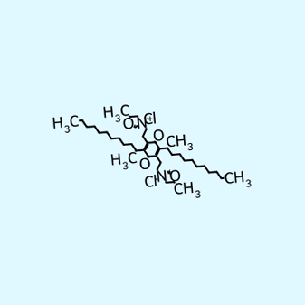 CCCCCCCCCCC(C)C1=C(CC[N+](Cl)(C=O)CCC)C(=O)C(C(C)CCCCCCCCCC)=C(CC[N+](Cl)(C=O)CCC)C1=O